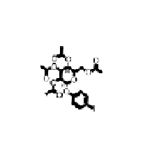 CC(=O)OCC1O[C@H](Oc2ccc(I)cc2)C(OC(C)=O)C(OC(C)=O)[C@@H]1OC(C)=O